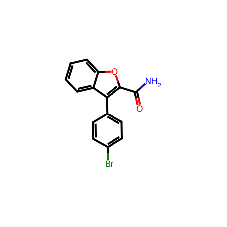 NC(=O)c1oc2ccccc2c1-c1ccc(Br)cc1